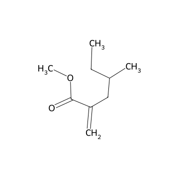 C=C(CC(C)CC)C(=O)OC